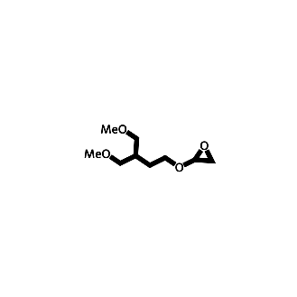 COCC(CCOC1CO1)COC